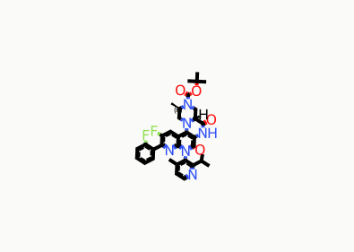 Cc1ccnc(C(C)C)c1-n1c(=O)c2c(c3cc(F)c(-c4ccccc4F)nc31)N1C[C@@H](C)N(C(=O)OC(C)(C)C)C[C@@H]1C(=O)N2